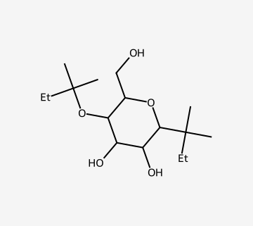 CCC(C)(C)OC1C(CO)OC(C(C)(C)CC)C(O)C1O